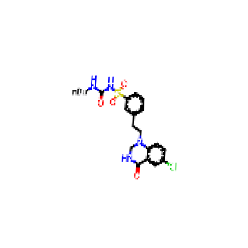 CCCCNC(=O)NS(=O)(=O)c1cccc(CCN2CNC(=O)c3cc(Cl)ccc32)c1